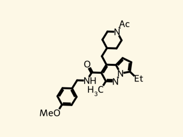 CCc1ccc2c(CC3CCN(C(C)=O)CC3)c(C(=O)NCc3ccc(OC)cc3)c(C)nn12